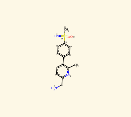 Cc1nc(CN)ccc1-c1ccc(S(C)(=N)=O)cc1